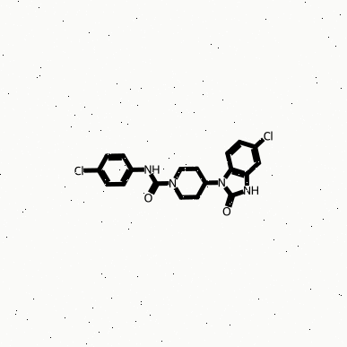 O=C(Nc1ccc(Cl)cc1)N1CCC(n2c(=O)[nH]c3cc(Cl)ccc32)CC1